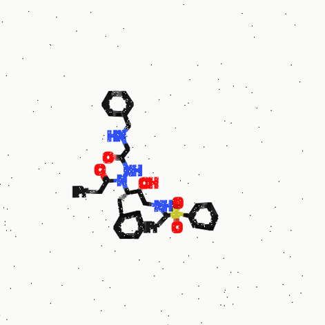 CC(C)CC(=O)N(NC(=O)CNCc1ccccc1)[C@@H](Cc1ccccc1)[C@H](O)CNC(C(C)C)S(=O)(=O)c1ccccc1